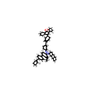 CC1(C)c2cc(-c3ccccc3)ccc2-c2ccc(N(c3ccc(-c4ccc(-c5cc6c7ccccc7oc6c6ccccc56)cc4)cc3)c3ccc4cc5ccccc5cc4c3)cc21